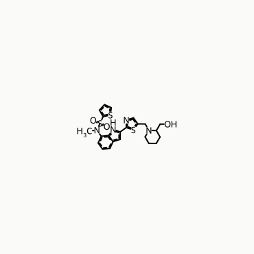 CN(c1cccc2cc(-c3ncc(CN4CCCCC4CO)s3)[nH]c12)S(=O)(=O)c1cccs1